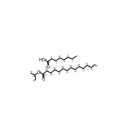 CCCCCCCC(=O)O.CCCCCCCCCCCCCC(=O)OC(C)C